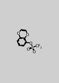 O=S(=O)(Oc1cccc2c1OC=CO2)C(F)(F)F